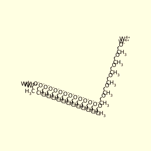 CC[O-].CC[O-].CC[O-].CC[O-].CC[O-].CC[O-].CC[O-].CC[O-].CC[O-].CC[O-].CC[O-].CC[O-].CC[O-].CC[O-].CC[O-].CC[O-].CC[O-].CC[O-].CC[O-].CC[O-].[W+4].[W+4].[W+4].[W+4].[W+4]